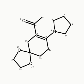 CC(=O)C1=C(N2CCCC2)CCC2(C1)OCCO2